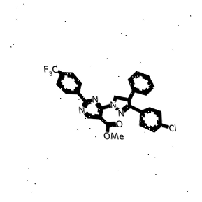 COC(=O)c1cnc(-c2ccc(C(F)(F)F)cc2)nc1N1CC(c2ccccc2)C(c2ccc(Cl)cc2)=N1